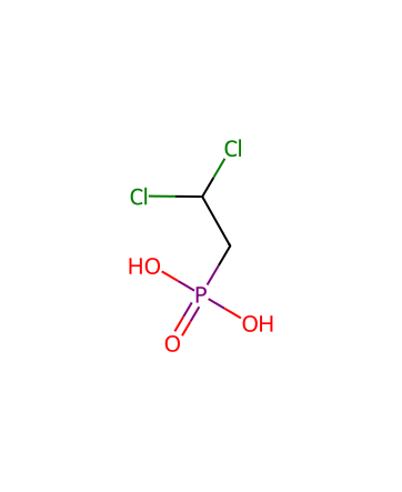 O=P(O)(O)CC(Cl)Cl